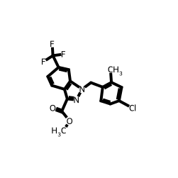 COC(=O)c1nn(Cc2ccc(Cl)cc2C)c2cc(C(F)(F)F)ccc12